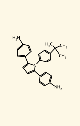 CC(C)(C)c1ccc(-n2c(-c3ccc(N)cc3)ccc2-c2ccc(N)cc2)cc1